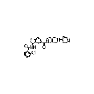 O=C(N[C@H]1CCc2ccc(C(=O)N3CCC4(CCN(c5ccncc5)CC4)C3)cc21)c1ccccc1Cl